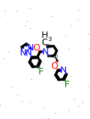 C[C@@H]1CC[C@@H](COc2ccc(F)cn2)CN1C(=O)c1cc(F)ccc1-n1nccn1